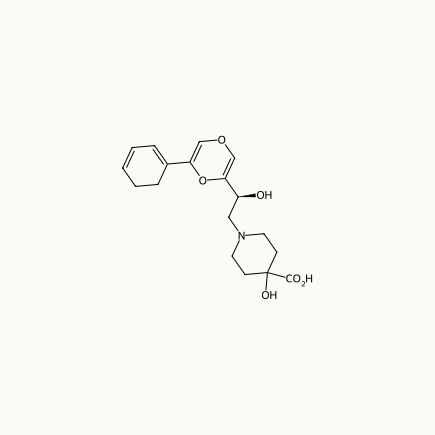 O=C(O)C1(O)CCN(C[C@H](O)C2=COC=C(C3=CC=CCC3)O2)CC1